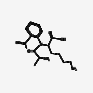 CC(=O)c1ccccc1N(C(=O)C(C)N)C(CCCCN)C(=O)O